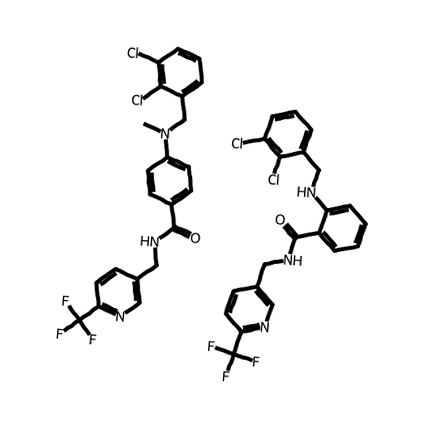 CN(Cc1cccc(Cl)c1Cl)c1ccc(C(=O)NCc2ccc(C(F)(F)F)nc2)cc1.O=C(NCc1ccc(C(F)(F)F)nc1)c1ccccc1NCc1cccc(Cl)c1Cl